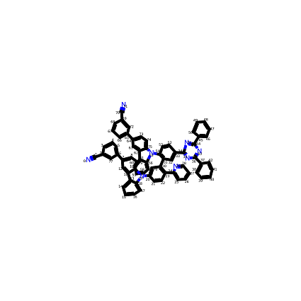 N#Cc1cccc(-c2ccc3c(c2)c2ccccc2n3-c2ccc(-c3ccccn3)c(-c3cc(-c4nc(-c5ccccc5)nc(-c5ccccc5)n4)ccc3-n3c4ccccc4c4cc(-c5cccc(C#N)c5)ccc43)c2)c1